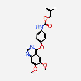 C=C(C)COC(=O)Nc1ccc(Oc2ncnc3cc(OC)c(OC)cc23)cc1